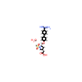 CS(=O)(=O)N1C[C@H](CC(=O)O)C[C@H]1COc1ccc(-c2ccc(C(=N)N)cc2)cc1.O